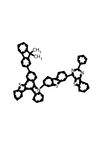 CC1(C)c2ccccc2-c2ccc(-c3ccc4c(c3)c3sc5ccccc5c3c3c5ccccc5n(-c5ccc6c(c5)sc5cc(-c7nc(-c8ccccc8)nc8c7sc7ccccc78)ccc56)c43)cc21